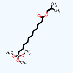 CO[Si](CCCCCCCCCCC(=O)OC=C(C)C)(OC)OC